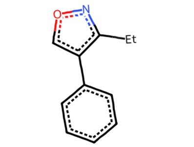 CCc1nocc1-c1ccccc1